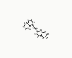 C(#Cc1cccc2ccc[c]c12)c1ccc2ccccc2c1